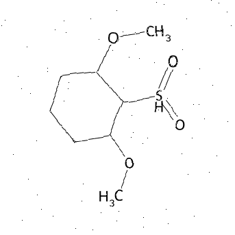 COC1CCCC(OC)C1[SH](=O)=O